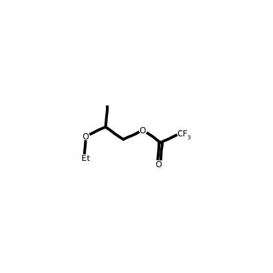 CCOC(C)COC(=O)C(F)(F)F